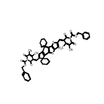 CC1=C(C#N)C(=O)N(C(=O)OCc2ccccc2)C(=O)/C1=C/C1=CC2=C(c3sc4cc(/C=C5/C(=O)N(C(=O)OCc6ccccc6)C(=O)C(C#N)=C5C)sc4c3C23CCCCC3)C12CCCCC2